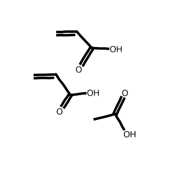 C=CC(=O)O.C=CC(=O)O.CC(=O)O